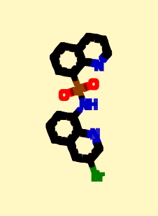 O=S(=O)(Nc1cccc2cc(Br)cnc12)c1cccc2cccnc12